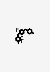 Cc1ccc(Cc2ccc(CC3CCC(C)CC3)cc2F)c(F)c1F